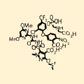 COc1cc(OC)nc(NC(=O)NS(=O)(=O)c2c(C(=O)O)c(Cl)nn2C)n1.C[S+](C)C.O=C(O)CNCP(=O)([O-])O.O=C(O)c1cc(Oc2ccc(C(F)(F)F)cc2Cl)ccc1[N+](=O)[O-]